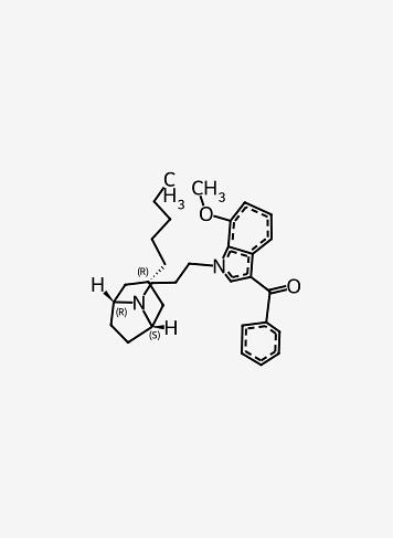 CCCCC[C@H]1C[C@H]2CC[C@@H](C1)N2CCCn1cc(C(=O)c2ccccc2)c2cccc(OC)c21